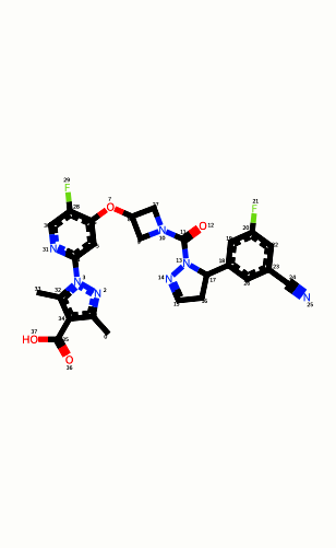 Cc1nn(-c2cc(OC3CN(C(=O)N4N=CCC4c4cc(F)cc(C#N)c4)C3)c(F)cn2)c(C)c1C(=O)O